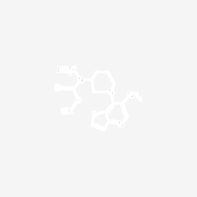 CC(C)(C)OC(=O)N(C(=O)O)C1CCCN(c2c(N)cnc3ccsc23)C1